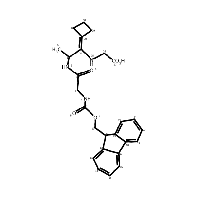 CC(NC(=O)CNC(=O)OCC1c2ccccc2-c2ccccc21)C(NCC(=O)O)=C1CCC1